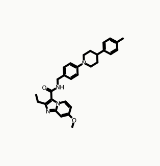 CCc1nc2cc(OC)ccn2c1C(=O)NCc1ccc(N2CCC(c3ccc(C)cc3)CC2)cc1